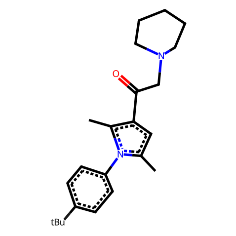 Cc1cc(C(=O)CN2CCCCC2)c(C)n1-c1ccc(C(C)(C)C)cc1